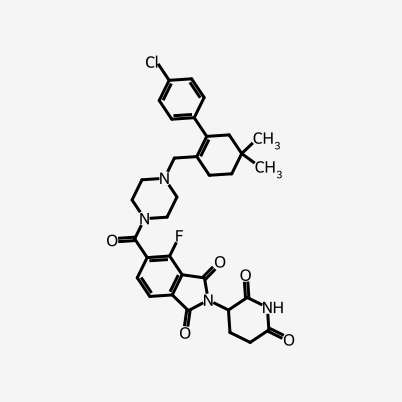 CC1(C)CCC(CN2CCN(C(=O)c3ccc4c(c3F)C(=O)N(C3CCC(=O)NC3=O)C4=O)CC2)=C(c2ccc(Cl)cc2)C1